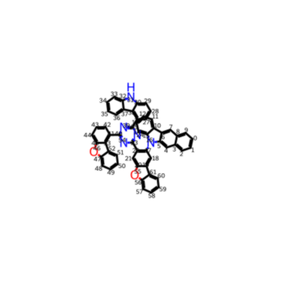 c1ccc2cc3c(cc2c1)c1ccccc1n3-c1cc2c(cc1-c1nc(-c3cccc4[nH]c5ccccc5c34)nc(-c3cccc4oc5ccccc5c34)n1)oc1ccccc12